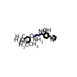 CC1(C)CC(O/C(N)=C/C=C(\N)c2ccc(-n3cccn3)cc2O)CC(C)(C)N1